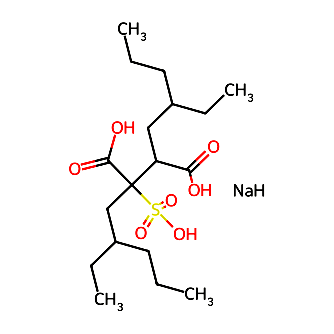 CCCC(CC)CC(C(=O)O)C(CC(CC)CCC)(C(=O)O)S(=O)(=O)O.[NaH]